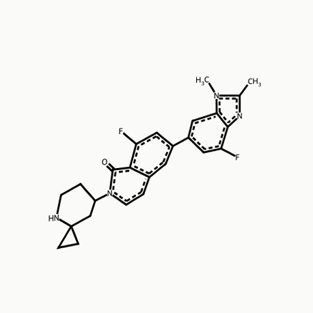 Cc1nc2c(F)cc(-c3cc(F)c4c(=O)n(C5CCNC6(CC6)C5)ccc4c3)cc2n1C